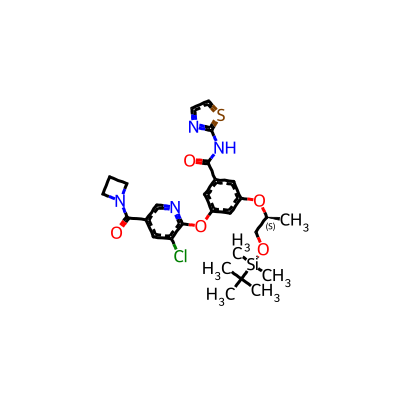 C[C@@H](CO[Si](C)(C)C(C)(C)C)Oc1cc(Oc2ncc(C(=O)N3CCC3)cc2Cl)cc(C(=O)Nc2nccs2)c1